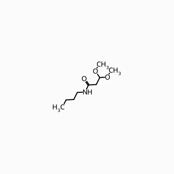 CCCCNC(=O)CC(OC)OC